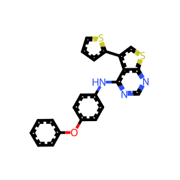 c1ccc(Oc2ccc(Nc3ncnc4scc(-c5cccs5)c34)cc2)cc1